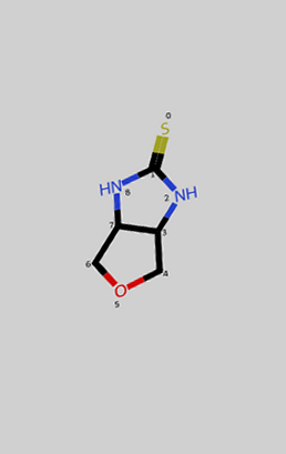 S=C1NC2COCC2N1